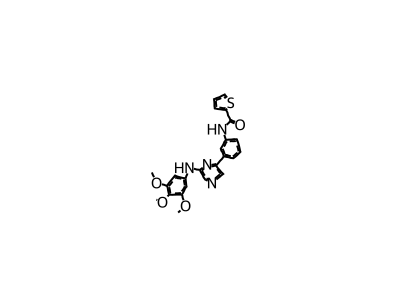 COc1cc(Nc2cncc(-c3cccc(NC(=O)c4cccs4)c3)n2)cc(OC)c1OC